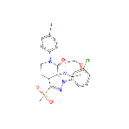 CS(=O)(=O)C1=NN(c2cccc(Cl)c2)C2(N3CCOCC3)C(=O)N(c3ccc(I)cc3)CCC12